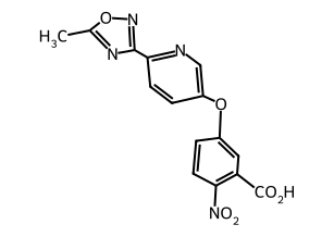 Cc1nc(-c2ccc(Oc3ccc([N+](=O)[O-])c(C(=O)O)c3)cn2)no1